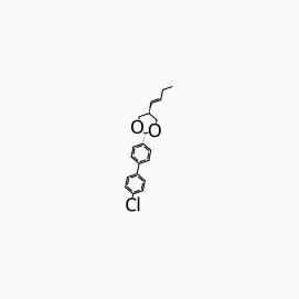 CCC=C[C@H]1CO[C@H](c2ccc(-c3ccc(Cl)cc3)cc2)OC1